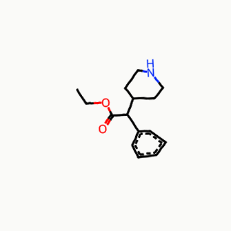 CCOC(=O)C(c1ccccc1)C1CCNCC1